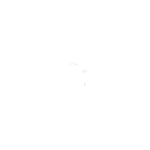 CC(C(C)(C)C)C(C)(F)C(C)(C)C